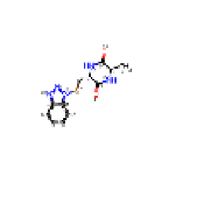 CC1NC(=O)[C@H](CSn2nnc3ccccc32)NC1=O